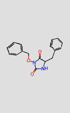 O=C1NC(Cc2ccccc2)C(=O)N1OCc1ccccc1